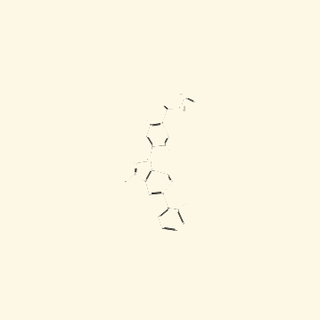 CS(=O)(=O)NC(=O)c1cc(Cl)c(-n2nc(Cl)c3cc(-c4ccccc4C(F)(F)F)ccc32)cc1F